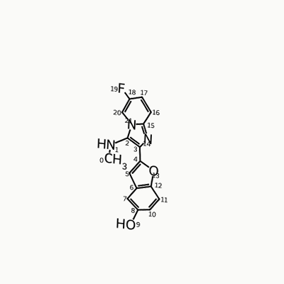 CNc1c(-c2cc3cc(O)ccc3o2)nc2ccc(F)cn12